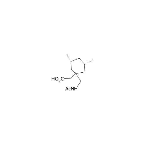 CC(=O)NCC1(CC(=O)O)C[C@H](C)C[C@H](C)C1